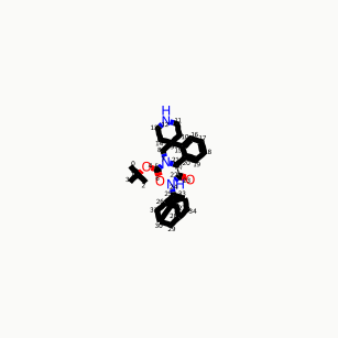 CC(C)(C)OC(=O)N1CC2(CCNCC2)c2ccccc2[C@@H]1C(=O)NC1C2CC3CC(C2)CC1C3